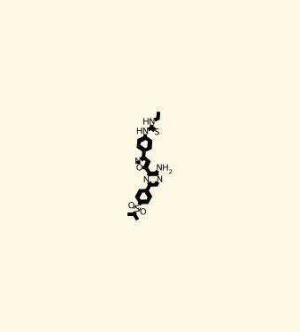 CCNC(=S)Nc1ccc(-c2cc(-c3nc(-c4ccc(S(=O)(=O)C(C)C)cc4)cnc3N)on2)cc1